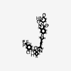 O=C1CCC(n2ncc3cc(N4CC(C#Cc5cnn(C6(C(=O)Nc7ccc(C(F)(F)F)cc7Cl)CCC6)c5)C4)ccc3c2=O)C(=O)N1